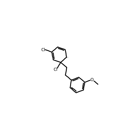 COc1cccc(CCC2(Cl)[CH]C=CC(Cl)=C2)c1